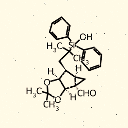 CC1(C)O[C@H]2[C@@H](CC(C)(C)[Si](O)(c3ccccc3)c3ccccc3)[C@H]3C[C@@]3(C=O)[C@H]2O1